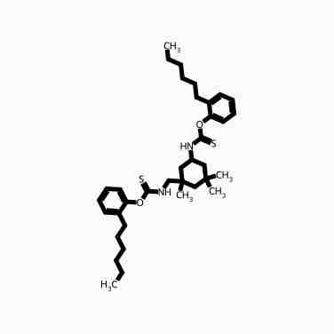 CCCCCCc1ccccc1OC(=S)NCC1(C)CC(NC(=S)Oc2ccccc2CCCCCC)CC(C)(C)C1